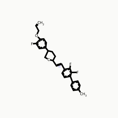 C=CCOc1ccc(C2CCC(/C=C/c3ccc(-c4ccc(C)cc4)c(F)c3F)CC2)cc1F